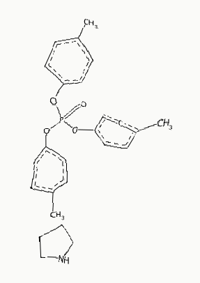 C1CCNC1.Cc1ccc(OP(=O)(Oc2ccc(C)cc2)Oc2ccc(C)cc2)cc1